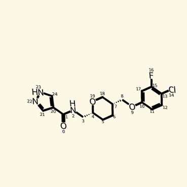 O=C(NC[C@H]1CC[C@@H](COc2ccc(Cl)c(F)c2)CO1)c1cn[nH]c1